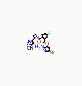 CC(Oc1cc(Br)cnc1N)c1cc(F)ccc1C(=O)N1CCC1c1cc(C#N)n(C)n1